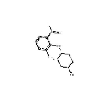 Cc1cccc([N+](=O)[O-])c1N[C@H]1CC[C@H](O)CC1